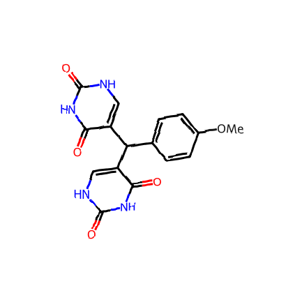 COc1ccc(C(c2c[nH]c(=O)[nH]c2=O)c2c[nH]c(=O)[nH]c2=O)cc1